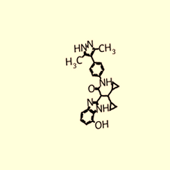 Cc1n[nH]c(C)c1-c1ccc(NC(=O)C(c2nc3cccc(O)c3[nH]2)C(C2CC2)C2CC2)cc1